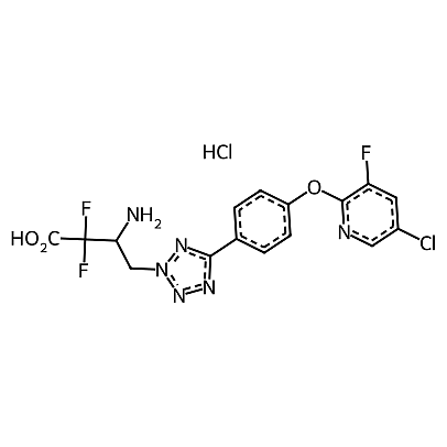 Cl.NC(Cn1nnc(-c2ccc(Oc3ncc(Cl)cc3F)cc2)n1)C(F)(F)C(=O)O